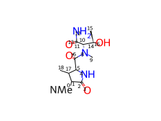 CNC1C(=O)NC(C(=O)N(C)[C@H](C(N)=O)[C@@H](C)O)C1C